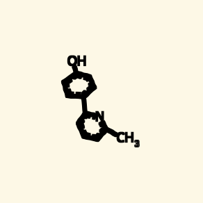 Cc1cccc(-c2ccc(O)cc2)n1